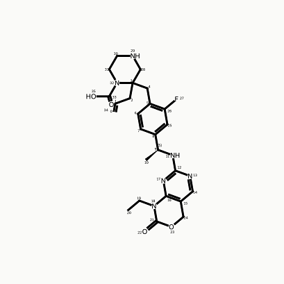 C=CCC1(Cc2ccc([C@H](C)Nc3ncc4c(n3)N(CC)C(=O)OC4)cc2F)CNCCN1C(=O)O